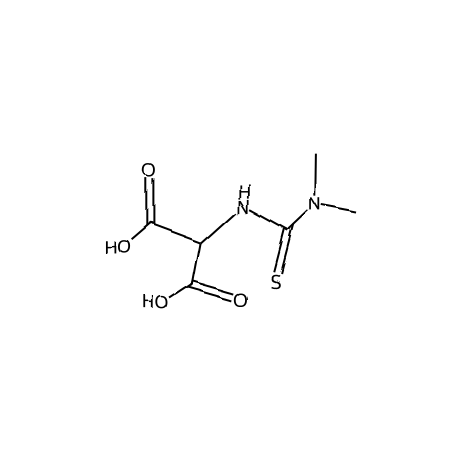 CN(C)C(=S)NC(C(=O)O)C(=O)O